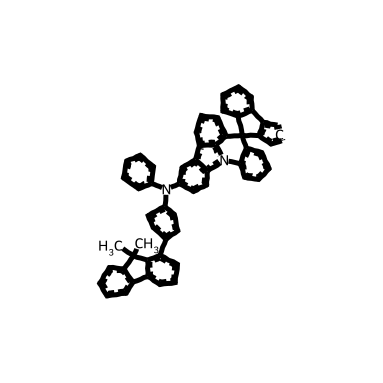 CC1(C)c2ccccc2-c2cccc(-c3ccc(N(c4ccccc4)c4ccc5c(c4)c4cccc6c4n5-c4ccccc4C64c5ccccc5-c5ccccc54)cc3)c21